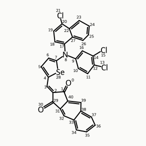 O=C1C(=Cc2ccc(N(c3ccc(Cl)c(Cl)c3)c3ccc(Cl)c4ccccc34)[se]2)C(=O)c2cc3ccccc3cc21